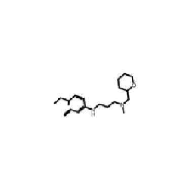 C=C/C=C(\C=C/C(C)CC)NCCCN(C)CC1CCCCO1